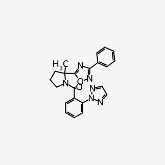 CC1(c2nc(-c3ccccc3)no2)CCCN1C(=O)c1ccccc1-n1nccn1